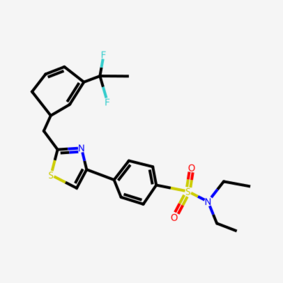 CCN(CC)S(=O)(=O)c1ccc(-c2csc(CC3C=C(C(C)(F)F)C=CC3)n2)cc1